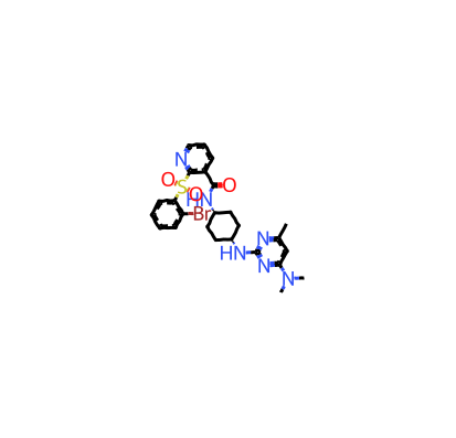 Cc1cc(N(C)C)nc(N[C@H]2CC[C@@H](NC(=O)c3cccnc3S(=O)(=O)c3ccccc3Br)CC2)n1